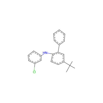 CC(C)(C)c1ccc(Nc2cccc(Cl)c2)c(-c2ccccc2)c1